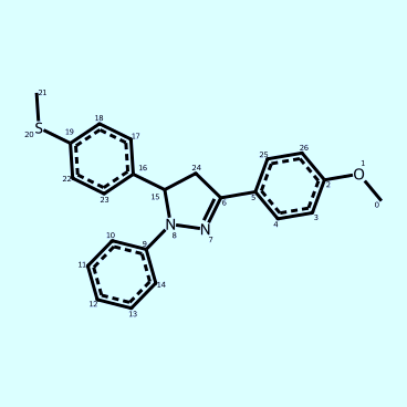 COc1ccc(C2=NN(c3ccccc3)C(c3ccc(SC)cc3)C2)cc1